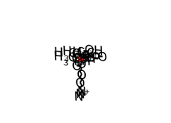 CC1(C)O[C@@H]2C[C@H]3[C@@H]4CCC5=CC(=O)C=C[C@]5(C)[C@@]4(F)[C@@H](O)C[C@]3(C)[C@]2(C(=O)COC(=O)CCOCCOCCN=[N+]=[N-])O1